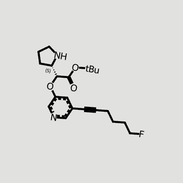 CC(C)(C)OC(=O)C(Oc1cncc(C#CCCCCF)c1)[C@@H]1CCCN1